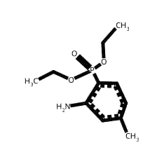 CCOP(=O)(OCC)c1ccc(C)cc1N